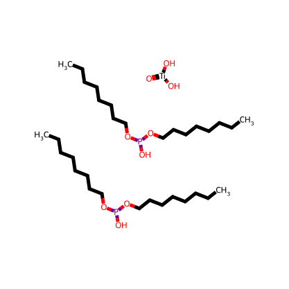 CCCCCCCCOP(O)OCCCCCCCC.CCCCCCCCOP(O)OCCCCCCCC.[O]=[Ti]([OH])[OH]